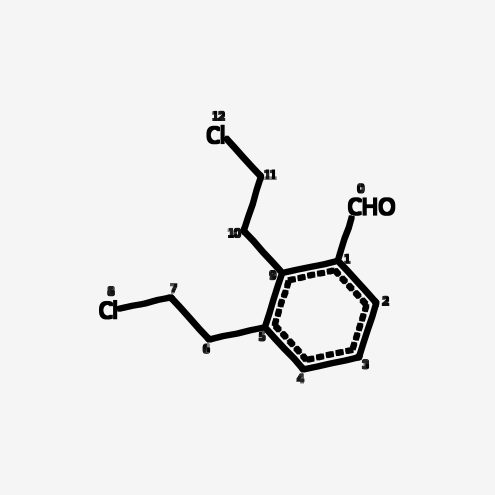 O=Cc1cccc(CCCl)c1CCCl